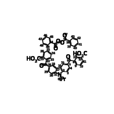 CC(C)n1c2ccc(C(=O)c3ccccc3C(=O)O)cc2c2cc(C(=O)c3ccccc3C(=O)O)ccc21.O=C(OOC(=O)c1ccccc1)c1ccccc1